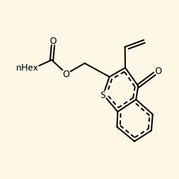 C=Cc1c(COC(=O)CCCCCC)sc2ccccc2c1=O